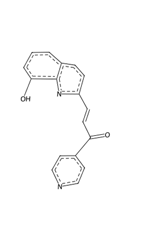 O=C(C=Cc1ccc2cccc(O)c2n1)c1ccncc1